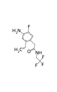 C=Cc1cc(N)c(F)cc1CC(=O)NCC(F)(F)F